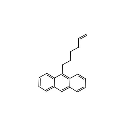 C=CCCCCc1c2ccccc2cc2ccccc12